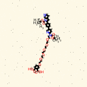 CC(C)(C)OC(=O)N(CCOCCOCCOCCOCCOCCOc1ccc(C(=O)O)c(C(=O)O)c1)c1ccc(-c2ccc(-c3cc4ccncc4n3C(=O)OC(C)(C)C)cc2)cn1